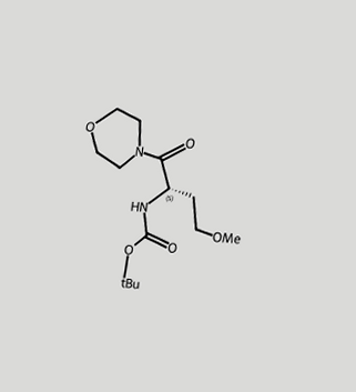 COCC[C@H](NC(=O)OC(C)(C)C)C(=O)N1CCOCC1